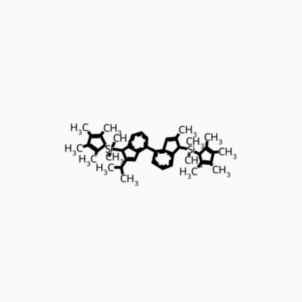 CC1=Cc2c(-c3cccc4c3C=C(C(C)C)C4[Si](C)(C)C3C(C)=C(C)C(C)=C3C)cccc2C1[Si](C)(C)C1C(C)=C(C)C(C)=C1C